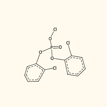 O=P(OCl)(Oc1ccccc1Cl)Oc1ccccc1Cl